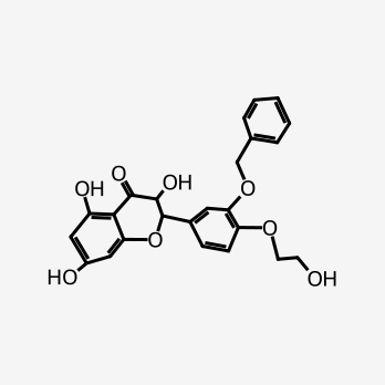 O=C1c2c(O)cc(O)cc2OC(c2ccc(OCCO)c(OCc3ccccc3)c2)C1O